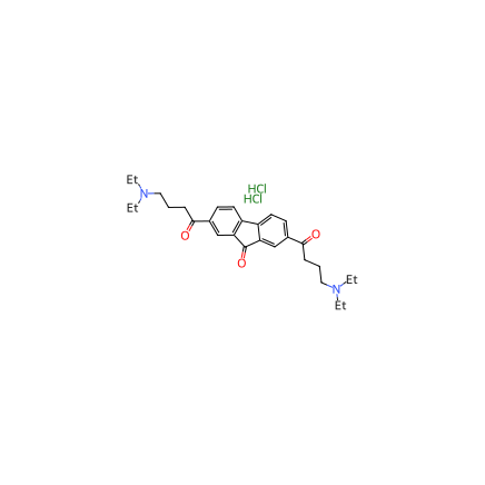 CCN(CC)CCCC(=O)c1ccc2c(c1)C(=O)c1cc(C(=O)CCCN(CC)CC)ccc1-2.Cl.Cl